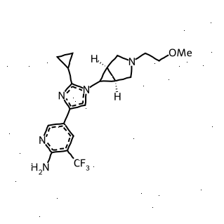 COCCN1C[C@@H]2C(n3cc(-c4cnc(N)c(C(F)(F)F)c4)nc3C3CC3)[C@@H]2C1